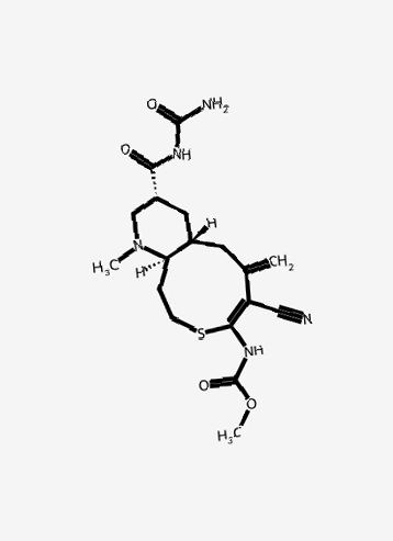 C=C1C[C@H]2C[C@@H](C(=O)NC(N)=O)CN(C)[C@@H]2CCS/C(NC(=O)OC)=C\1C#N